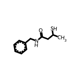 CC(S)CC(=O)NCc1ccccc1